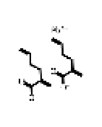 C=CCCC(=C)C(=O)[O-].C=CCCC(=C)C(=O)[O-].[Pb+2]